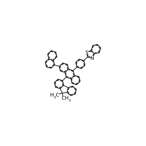 CC1(C)c2ccccc2-c2c(-c3c4ccccc4c(-c4ccc(-c5nc6ccccc6s5)cc4)c4ccc(-c5cccc6ccccc56)cc34)cccc21